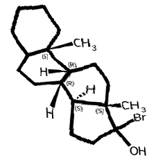 C[C@]12CCCCC1CC[C@@H]1[C@H]2CC[C@@]2(C)[C@H]1CCC2(O)Br